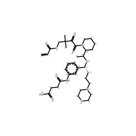 C=CC(=O)OCC(C)(C)C(=O)C(=O)N1CCCCC1C(C)O[C@H](CCCN1CCOCC1)c1cccc(NC(=O)CCC(=O)O)c1